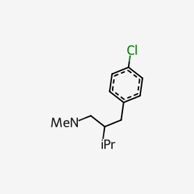 CNCC(Cc1ccc(Cl)cc1)C(C)C